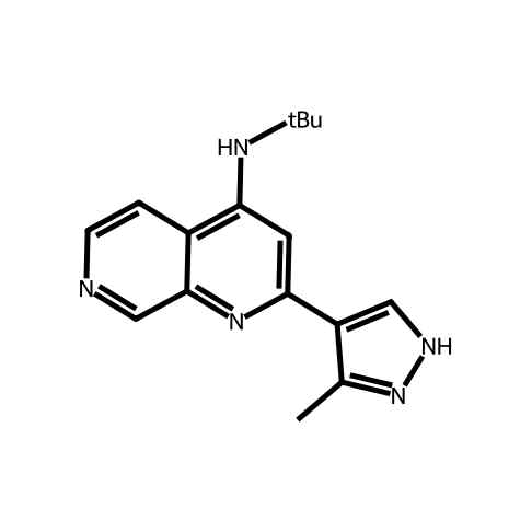 Cc1n[nH]cc1-c1cc(NC(C)(C)C)c2ccncc2n1